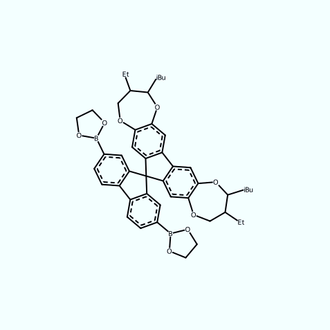 CCC(C)C1Oc2cc3c(cc2OCC1CC)C1(c2cc(B4OCCO4)ccc2-c2ccc(B4OCCO4)cc21)c1cc2c(cc1-3)OC(C(C)CC)C(CC)CO2